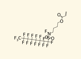 C=CC(=O)OCCCCN(F)S(=O)(=O)C(F)(F)C(F)(F)C(F)(F)C(F)(F)C(F)(F)C(F)(F)C(F)(F)C(F)(F)F